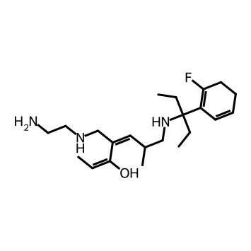 C/C=C(O)\C(=C/C(C)CNC(CC)(CC)C1=C(F)CCC=C1)CNCCN